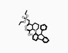 CCOP(=O)(CC(=O)C1CCCN(c2cccc3c2C(c2ccccc2)c2ccccc2-3)C1C(=O)O)OCC